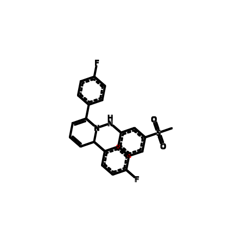 CS(=O)(=O)c1cccc(NN2C(c3ccc(F)cc3)=CC=CC2c2ccc(F)cc2)c1